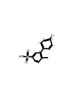 Cc1ccc(S(=O)(=O)O)cc1-c1ccc(F)cc1